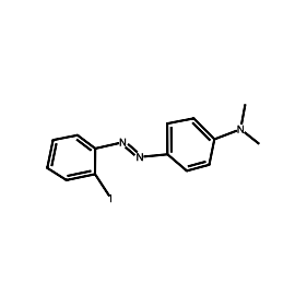 CN(C)c1ccc(N=Nc2ccccc2I)cc1